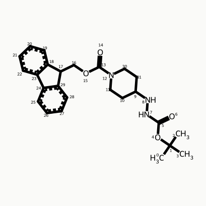 CC(C)(C)OC(=O)NNC1CCN(C(=O)OCC2c3ccccc3-c3ccccc32)CC1